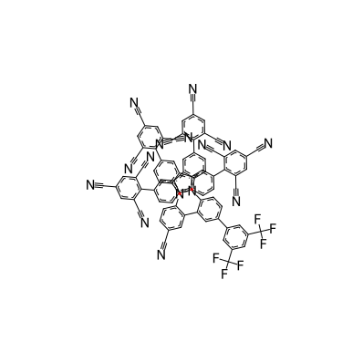 N#Cc1cc(C#N)c(-c2ccc3c(c2)c2cc(-c4c(C#N)cc(C#N)cc4C#N)ccc2n3-c2ccc(C#N)cc2-c2cc(-c3cc(C(F)(F)F)cc(C(F)(F)F)c3)ccc2-n2c3ccc(-c4c(C#N)cc(C#N)cc4C#N)cc3c3cc(-c4c(C#N)cc(C#N)cc4C#N)ccc32)c(C#N)c1